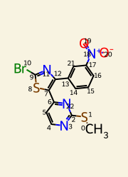 CSc1nccc(-c2sc(Br)nc2-c2cccc([N+](=O)[O-])c2)n1